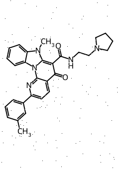 Cc1cccc(-c2ccc3c(=O)c(C(=O)NCCN4CCCC4)c4n(C)c5ccccc5n4c3n2)c1